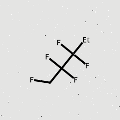 [CH2]CC(F)(F)C(F)(F)CF